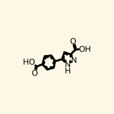 O=C(O)c1ccc(-c2cc(C(=O)O)n[nH]2)cc1